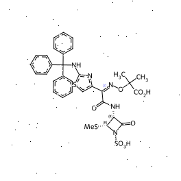 CS[C@@H]1[C@H](NC(=O)/C(=N\OC(C)(C)C(=O)O)c2csc(NC(c3ccccc3)(c3ccccc3)c3ccccc3)n2)C(=O)N1S(=O)(=O)O